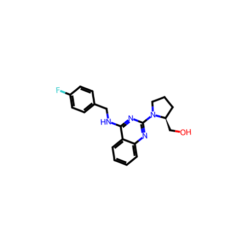 OC[C@@H]1CCCN1c1nc(NCc2ccc(F)cc2)c2ccccc2n1